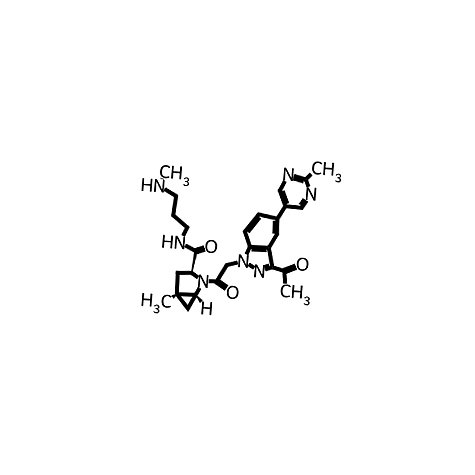 CNCCCNC(=O)[C@@H]1C[C@@]2(C)C[C@H]2N1C(=O)Cn1nc(C(C)=O)c2cc(-c3cnc(C)nc3)ccc21